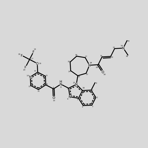 Cc1cccc2nc(NC(=O)c3ccnc(OC(F)(F)F)c3)n(C3CCCCN(C(=O)/C=C/CN(C)C)C3)c12